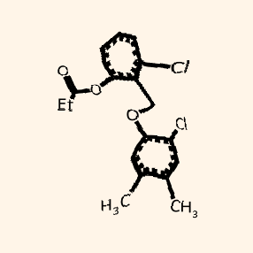 CCC(=O)Oc1cccc(Cl)c1COc1cc(C)c(C)cc1Cl